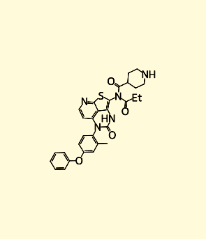 CCC(=O)N(C(=O)C1CCNCC1)c1sc2nccc3c2c1NC(=O)N3c1ccc(Oc2ccccc2)cc1C